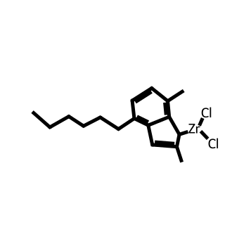 CCCCCCc1ccc(C)c2c1C=C(C)[CH]2[Zr]([Cl])[Cl]